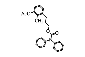 CC(=O)Oc1cccc(CCCOC(=O)N(c2ccccc2)c2ccccc2)c1C